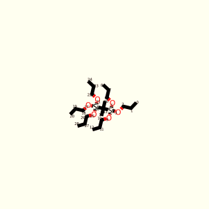 CCCO[Si](OCCC)(OCCC)C(C)(C)[Si](OCCC)(OCCC)OCCC